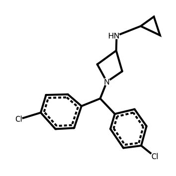 Clc1ccc(C(c2ccc(Cl)cc2)N2CC(NC3CC3)C2)cc1